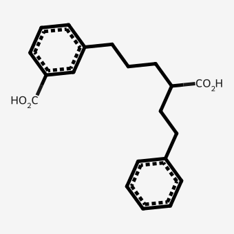 O=C(O)c1cccc(CCCC(CCc2ccccc2)C(=O)O)c1